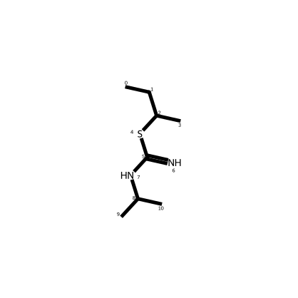 CCC(C)SC(=N)NC(C)C